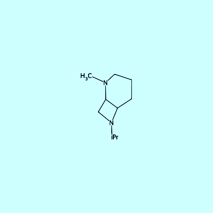 CC(C)N1CC2C1CCCN2C